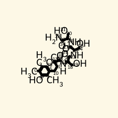 Cc1c(C)c2c(c(C)c1O)CCC(C)(C(=O)NC(CO)C(=O)NC(CO)C(=O)NC(CO)C(N)=O)O2